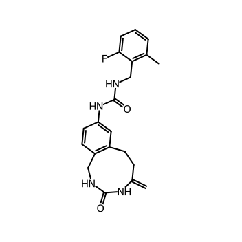 C=C1CCc2cc(NC(=O)NCc3c(C)cccc3F)ccc2CNC(=O)N1